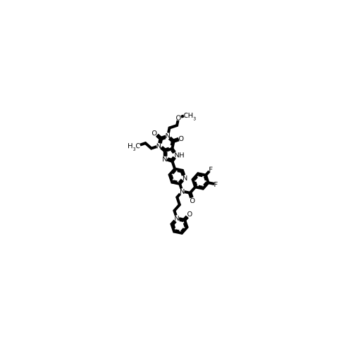 CCCn1c(=O)n(CCOC)c(=O)c2[nH]c(-c3ccc(N(CCCn4ccccc4=O)C(=O)c4ccc(F)c(F)c4)nc3)nc21